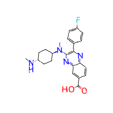 CN[C@H]1CC[C@H](N(C)c2nc3cc(C(=O)O)ccc3nc2-c2ccc(F)cc2)CC1